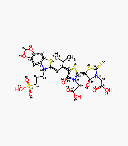 CC(C)C(/C=C1\Sc2cc3c(cc2N1CCCS(=O)(=O)O)OCO3)=c1\s/c(=C2\SC(=S)N(CC(=O)O)C2=O)n(CC(=O)O)c1=O